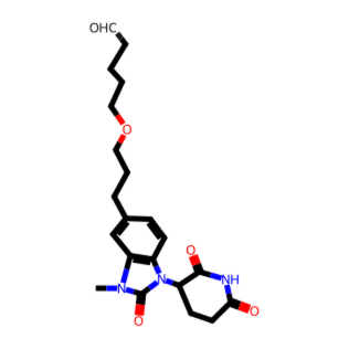 Cn1c(=O)n(C2CCC(=O)NC2=O)c2ccc(CCCOCCCCC=O)cc21